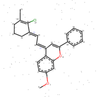 COc1ccc2c(c1)OC(c1ccccc1)=C/C2=C\C=C1/CCCC(C)=C1Cl